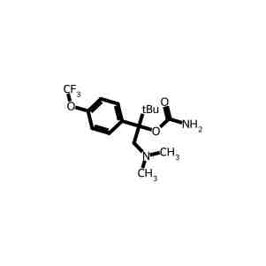 CN(C)CC(OC(N)=O)(c1ccc(OC(F)(F)F)cc1)C(C)(C)C